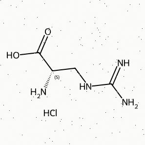 Cl.N=C(N)NC[C@H](N)C(=O)O